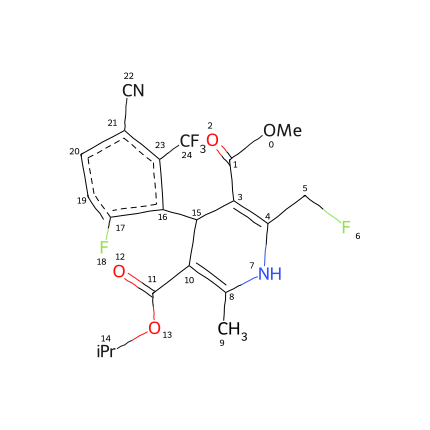 COC(=O)C1=C(CF)NC(C)=C(C(=O)OC(C)C)C1c1c(F)ccc(C#N)c1C(F)(F)F